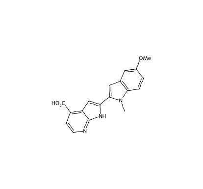 COc1ccc2c(c1)cc(-c1cc3c(C(=O)O)ccnc3[nH]1)n2C